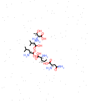 CC(C)C[C@H](N)C(=O)O.CC(C)[C@H](N)C(=O)O.CC[C@H](C)[C@H](N)C(=O)O.C[C@@H](O)[C@H](N)C(=O)O.NC(=O)C[C@H](N)C(=O)O